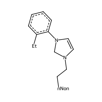 CCCCCCCCCCCN1C=CN(c2ccccc2CC)C1